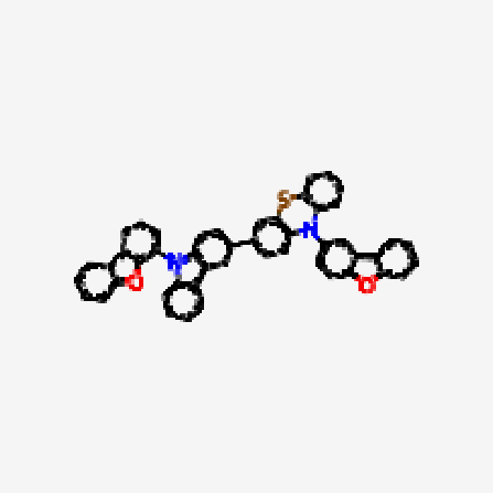 c1ccc2c(c1)Sc1cc(-c3ccc4c(c3)c3ccccc3n4-c3cccc4c3oc3ccccc34)ccc1N2c1ccc2oc3ccccc3c2c1